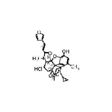 Cc1cc(O)c2c3c1C[C@H]1N(C4CC4)CC[C@@]34[C@@H](O2)[C@H](N(C)C(=O)/C=C/c2ccoc2)CC[C@@]14O.Cl